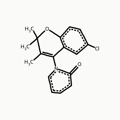 CC1=C(n2ccccc2=O)c2cc(Cl)ccc2OC1(C)C